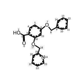 O=C(O)c1ccc(OCc2ccccc2)cc1OCc1ccccn1